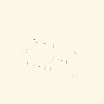 CC(C)B(N)N1BNBNB1